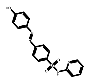 O=S(=O)(Nc1ccccn1)c1ccc(N=Nc2ccc(O)cc2)cc1